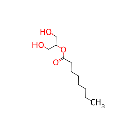 CCCCCCCC(=O)OC(CO)CO